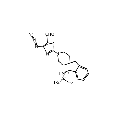 CC(C)(C)[S+]([O-])N[C@@H]1c2ccccc2CC12CCN(c1nc(N=[N+]=[N-])c(C=O)s1)CC2